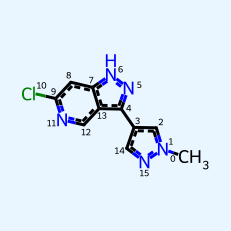 Cn1cc(-c2n[nH]c3cc(Cl)ncc23)cn1